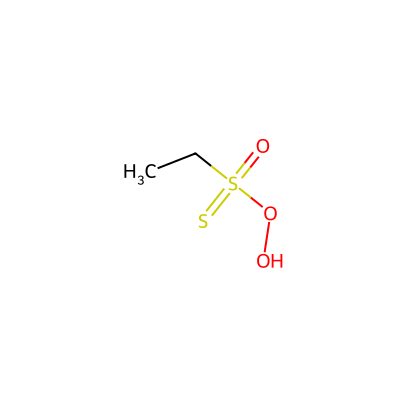 CCS(=O)(=S)OO